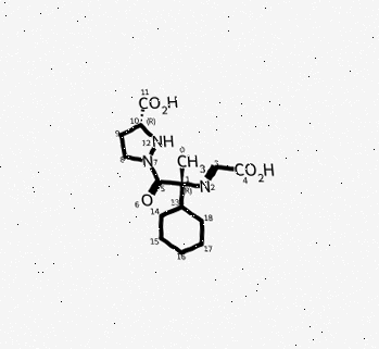 C[C@](N=CC(=O)O)(C(=O)N1CC[C@H](C(=O)O)N1)C1CCCCC1